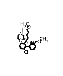 COCCCCC(O)(c1cccc(Cl)c1-c1cccc(COC)c1)[C@H]1CNCCO1